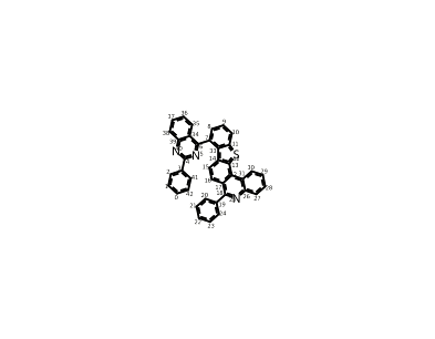 c1ccc(-c2nc(-c3cccc4sc5c(ccc6c(-c7ccccc7)nc7ccccc7c65)c34)c3ccccc3n2)cc1